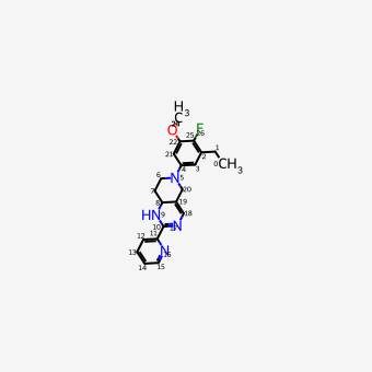 CCc1cc(N2CCC3NC(c4ccccn4)=NC=C3C2)cc(OC)c1F